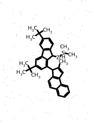 CC1=Cc2c(ccc3ccccc23)C1c1cc(C(C)(C)C)cc2c1[CH]([Zr][SiH](C)C)c1ccc(C(C)(C)C)cc1-2